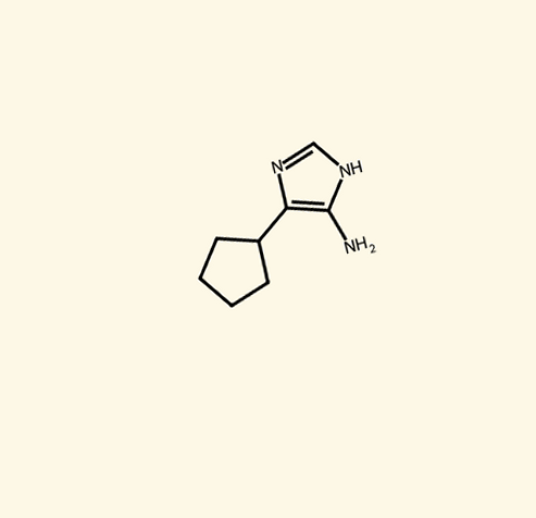 Nc1[nH]cnc1C1CCCC1